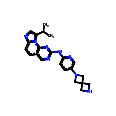 CC(C)c1cnc2ccc3cnc(Nc4ccc(N5CC6(CNC6)C5)cn4)nc3n12